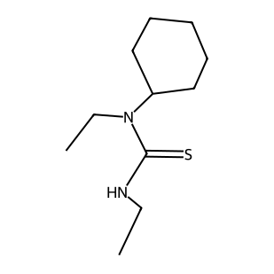 CCNC(=S)N(CC)C1CCCCC1